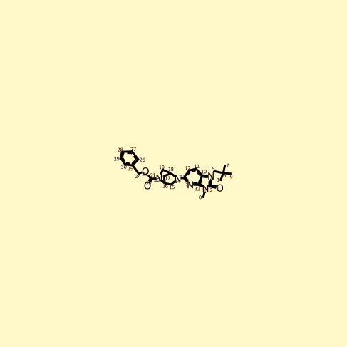 Cn1c(=O)n(CC(C)(C)C)c2ccc(N3CC4CC3CN4C(=O)OCc3ccccc3)nc21